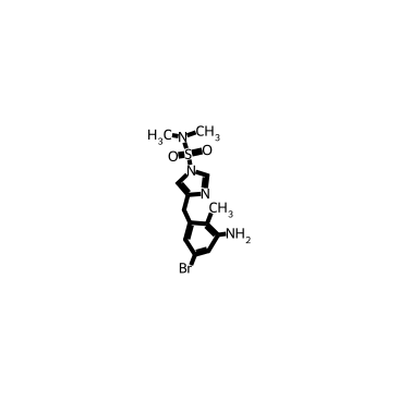 Cc1c(N)cc(Br)cc1Cc1cn(S(=O)(=O)N(C)C)cn1